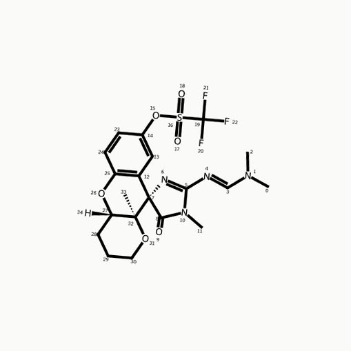 CN(C)C=NC1=N[C@@]2(C(=O)N1C)c1cc(OS(=O)(=O)C(F)(F)F)ccc1O[C@H]1CCCO[C@@]12C